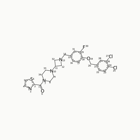 O=C(c1nccs1)N1CCN(C2CN(Cc3ccc(OCc4ccc(Cl)c(Cl)c4)c(F)c3)C2)CC1